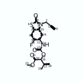 C#CCn1c(=O)sc2cc(F)c(NC(=O)OC(C(=C)C)C(=O)OC)cc21